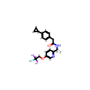 C[C@@H](NC(=O)Cc1ccc(C2CC2)cc1)c1ccc(OCC(F)(I)I)cn1